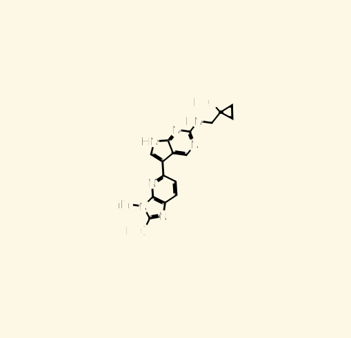 Cc1nc2ccc(-c3c[nH]c4nc(NCC5(C)CC5)ncc34)nc2n1C(C)C